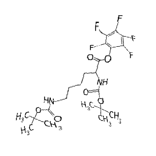 CC(C)(C)OC(=O)NCCCCC(NC(=O)OC(C)(C)C)C(=O)Oc1c(F)c(F)c(F)c(F)c1F